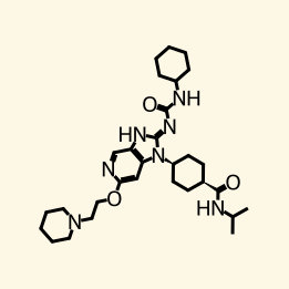 CC(C)NC(=O)[C@H]1CC[C@@H](n2/c(=N/C(=O)NC3CCCCC3)[nH]c3cnc(OCCN4CCCCC4)cc32)CC1